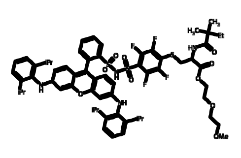 CCC(C)(C)C(=O)NC(CSc1c(F)c(F)c(S(=O)(=O)NS(=O)(=O)c2ccccc2C2=C3C=CC(Nc4c(C(C)C)cccc4C(C)C)C=C3Oc3cc(Nc4c(C(C)C)cccc4C(C)C)ccc32)c(F)c1F)C(=O)OCCOCCOC